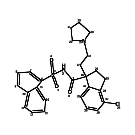 O=C(NS(=O)(=O)c1cccc2ccccc12)C1(CCN2CCCC2)CCc2c(Cl)cccc21